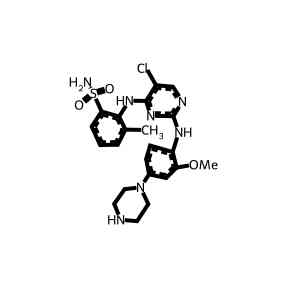 COc1cc(N2CCNCC2)ccc1Nc1ncc(Cl)c(Nc2c(C)cccc2S(N)(=O)=O)n1